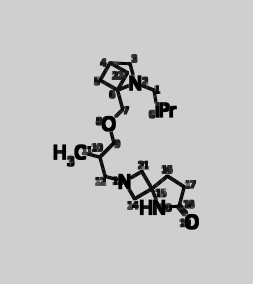 CC(C)CN1CC2CC1(COCC(C)CN1CC3(CCC(=O)N3)C1)C2